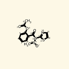 CC(=O)Oc1ccccc1C(=O)N(c1nccs1)[S+](C)[O-]